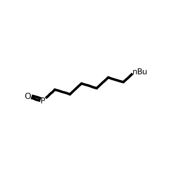 CCCCCCCCCCP=O